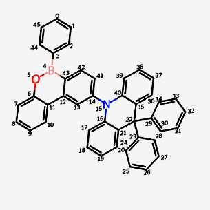 c1ccc(B2Oc3ccccc3-c3cc(N4c5ccccc5C(c5ccccc5)(c5ccccc5)c5ccccc54)ccc32)cc1